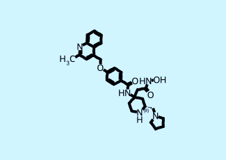 Cc1cc(COc2ccc(C(=O)NC3(CC(=O)NO)CCN[C@@H](CN4CCCC4)C3)cc2)c2ccccc2n1